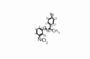 CC(=NOc1cccc([N+](=O)[O-])c1)c1ccc(Br)cc1